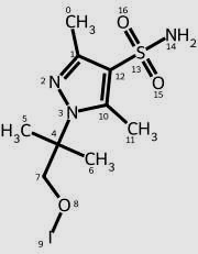 Cc1nn(C(C)(C)COI)c(C)c1S(N)(=O)=O